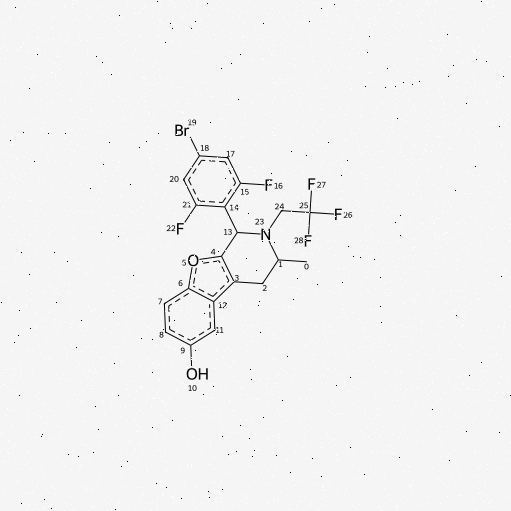 CC1Cc2c(oc3ccc(O)cc23)C(c2c(F)cc(Br)cc2F)N1CC(F)(F)F